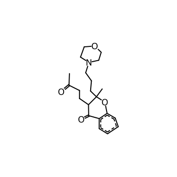 CC(=O)CCC1C(=O)c2ccccc2OC1(C)CCCN1CCOCC1